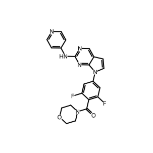 O=C(c1c(F)cc(-n2ccc3cnc(Nc4ccncc4)nc32)cc1F)N1CCOCC1